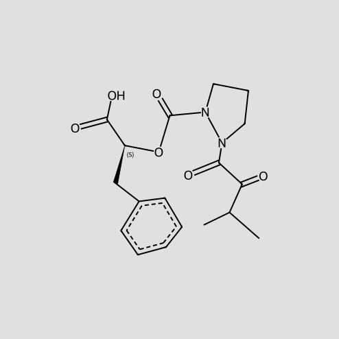 CC(C)C(=O)C(=O)N1CCCN1C(=O)O[C@@H](Cc1ccccc1)C(=O)O